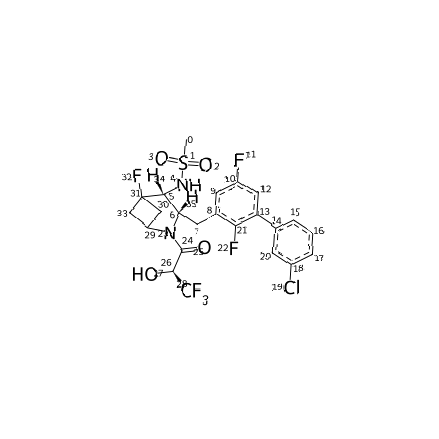 CS(=O)(=O)N[C@@H]1[C@H](Cc2cc(F)cc(-c3cccc(Cl)c3)c2F)N(C(=O)[C@H](O)C(F)(F)F)C2CC1(F)C2